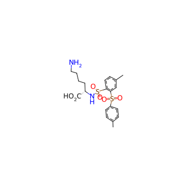 Cc1ccc(S(=O)(=O)c2cc(C)ccc2S(=O)(=O)N[C@@H](CCCCN)C(=O)O)cc1